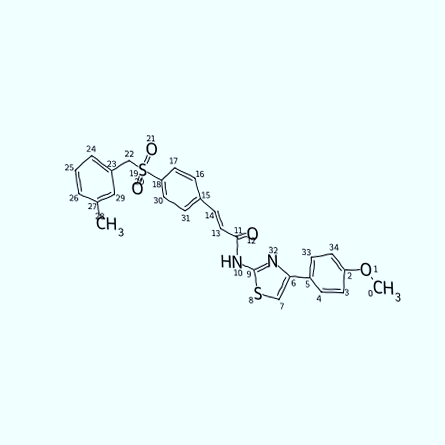 COc1ccc(-c2csc(NC(=O)/C=C/c3ccc(S(=O)(=O)Cc4cccc(C)c4)cc3)n2)cc1